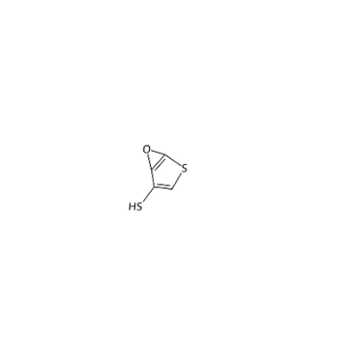 Sc1csc2c1O2